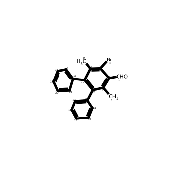 Cc1c(Br)c(C=O)c(C)c(-c2ccccc2)c1-c1ccccc1